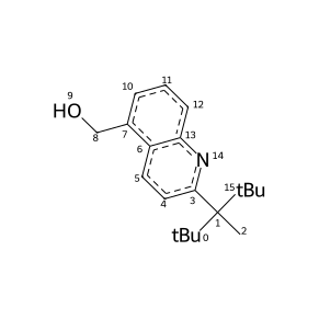 CC(C)(C)C(C)(c1ccc2c(CO)cccc2n1)C(C)(C)C